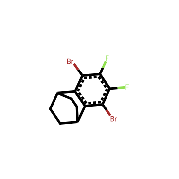 Fc1c(F)c(Br)c2c(c1Br)C1CCC2CC1